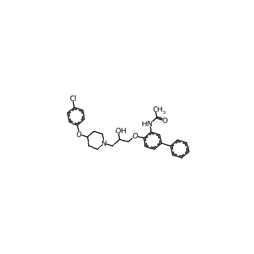 CC(=O)Nc1cc(-c2ccccc2)ccc1OCC(O)CN1CCC(Oc2ccc(Cl)cc2)CC1